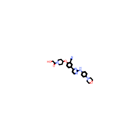 N#Cc1cc(-c2ccnc(Nc3ccc(N4CCOCC4)cc3)n2)ccc1OC1CCN(C(=O)CO)CC1